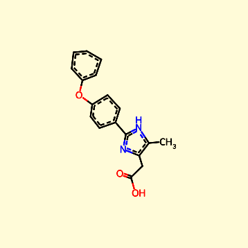 Cc1[nH]c(-c2ccc(Oc3ccccc3)cc2)nc1CC(=O)O